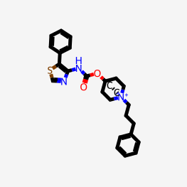 O=C(Nc1ncsc1-c1ccccc1)OC12CC[N+](CCCc3ccccc3)(CC1)CC2